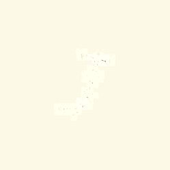 CCOC(=O)N1CCC2(CC(N3CCC(N4C(=O)CC4CC)CC3)C2)C1